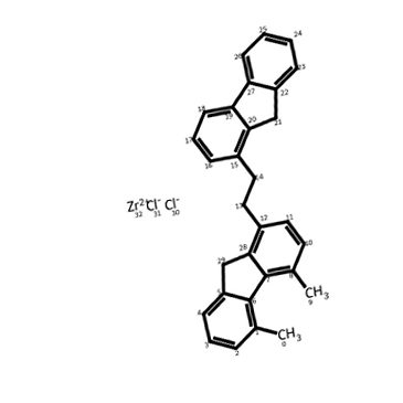 Cc1cccc2c1-c1c(C)ccc(CCc3cccc4c3Cc3ccccc3-4)c1C2.[Cl-].[Cl-].[Zr+2]